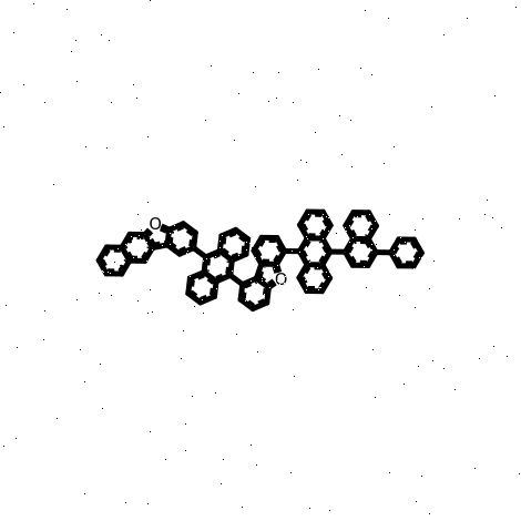 c1ccc(-c2ccc(-c3c4ccccc4c(-c4cccc5c4oc4cccc(-c6c7ccccc7c(-c7ccc8oc9cc%10ccccc%10cc9c8c7)c7ccccc67)c45)c4ccccc34)c3ccccc23)cc1